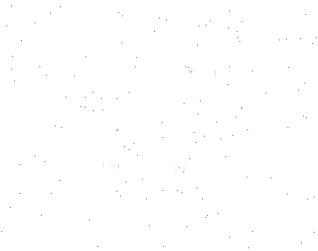 CC(C)(C)c1ccc(NI)cc1NI